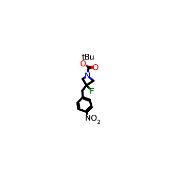 CC(C)(C)OC(=O)N1CC(F)(Cc2ccc([N+](=O)[O-])cc2)C1